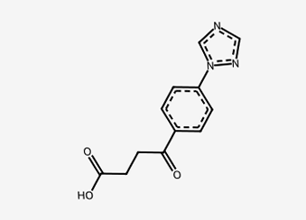 O=C(O)CCC(=O)c1ccc(-n2cncn2)cc1